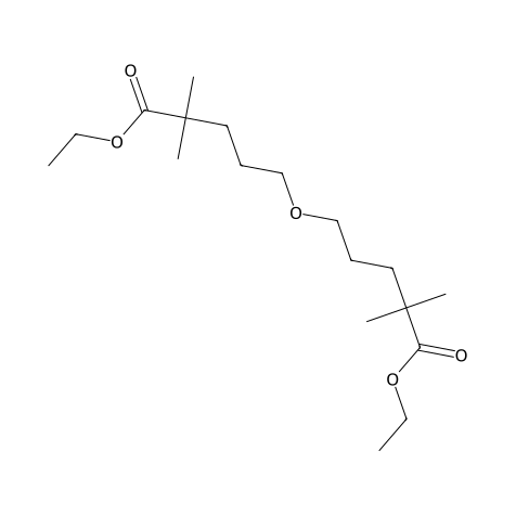 CCOC(=O)C(C)(C)CCCOCCCC(C)(C)C(=O)OCC